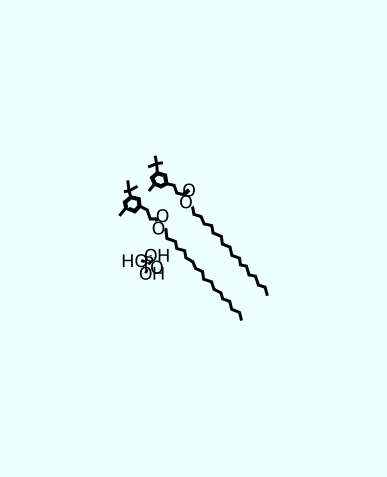 CCCCCCCCCCCCCCCCCCOC(=O)CCc1cc(C)cc(C(C)(C)C)c1.CCCCCCCCCCCCCCCCCCOC(=O)CCc1cc(C)cc(C(C)(C)C)c1.O=P(O)(O)O